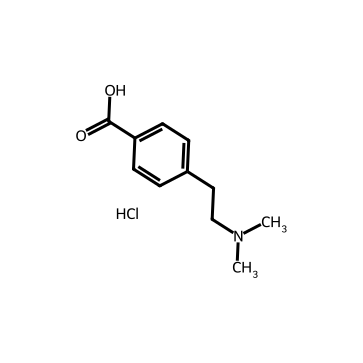 CN(C)CCc1ccc(C(=O)O)cc1.Cl